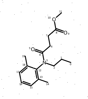 CCCN(C(=O)CCC(=O)OC)c1c(C)cccc1C